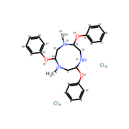 CN1CC(Oc2ccccc2)NCC(Oc2ccccc2)[N]([Ti+2])CC1Oc1ccccc1.[Cl-].[Cl-]